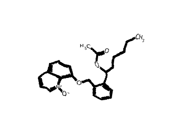 CCCCCC(OC(C)=O)c1ccccc1COc1cccc2ccc[n+]([O-])c12